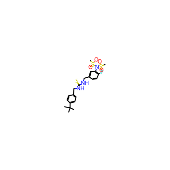 CC(C)(C)c1ccc(CNC(=S)NCc2ccc(F)c(N(S(C)(=O)=O)S(C)(=O)=O)c2)cc1